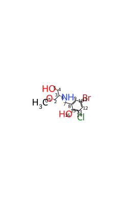 COCC(CO)NCc1cc(Br)cc(Cl)c1O